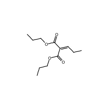 CCC=C(C(=O)OCCC)C(=O)OCCC